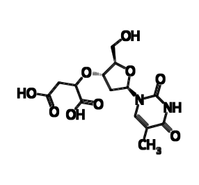 Cc1cn([C@H]2C[C@H](OC(CC(=O)O)C(=O)O)[C@@H](CO)O2)c(=O)[nH]c1=O